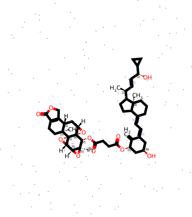 C=C1/C(=C\C=C2/CCC[C@@]3(C)C2CCC3[C@@H](C)/C=C/[C@@H](O)C2CC2)C[C@@H](O)C[C@@H]1OC(=O)CCC(=O)O[C@@H]1[C@@]2(C(C)C)O[C@H]2[C@@H]2O[C@]23[C@]12O[C@H]2C[C@H]1C2=C(CC[C@@]13C)C(=O)OC2